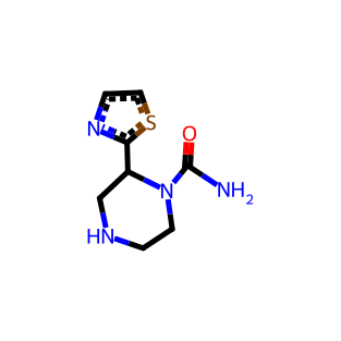 NC(=O)N1CCNCC1c1nccs1